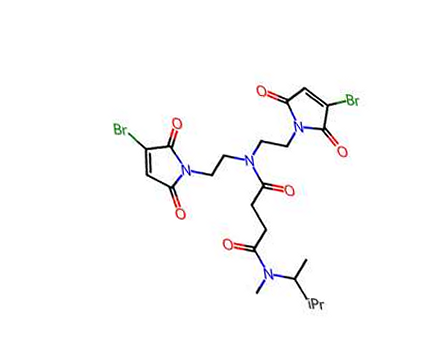 CC(C)C(C)N(C)C(=O)CCC(=O)N(CCN1C(=O)C=C(Br)C1=O)CCN1C(=O)C=C(Br)C1=O